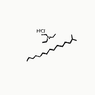 CCCCCCCCCCCCCC(C)C.CCN(CC)CC.Cl